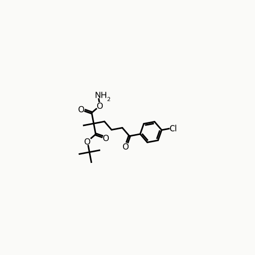 CC(C)(C)OC(=O)C(C)(CCCC(=O)c1ccc(Cl)cc1)C(=O)ON